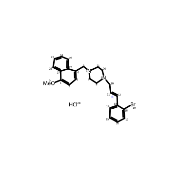 COc1ccc(CN2CCN(C/C=C/c3ccccc3Br)CC2)c2ccccc12.Cl